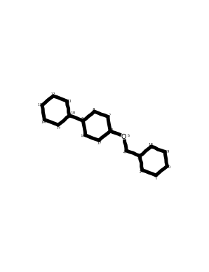 C1CCC(COC2CCC(C3CCCCC3)CC2)CC1